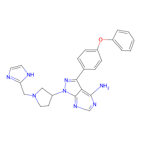 Nc1ncnc2c1c(-c1ccc(Oc3ccccc3)cc1)nn2C1CCN(Cc2ncc[nH]2)C1